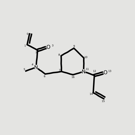 C=CC(=O)N(C)CC1CCCN(C(=O)C=C)C1